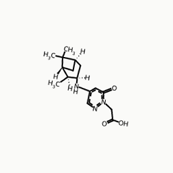 C[C@H]1[C@H]2C[C@H](C[C@H]1Nc1cnn(CC(=O)O)c(=O)c1)C2(C)C